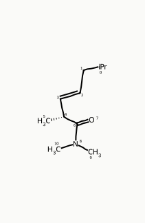 CC(C)C/C=C/[C@@H](C)C(=O)N(C)C